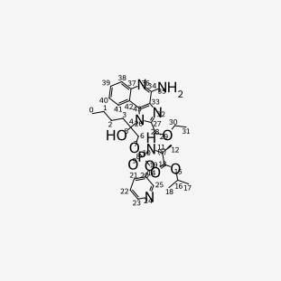 CCCCC(O)(COP(=O)(N[C@@H](C)C(=O)OC(C)C)Oc1cccnc1)n1c(COCC)nc2c(N)nc3ccccc3c21